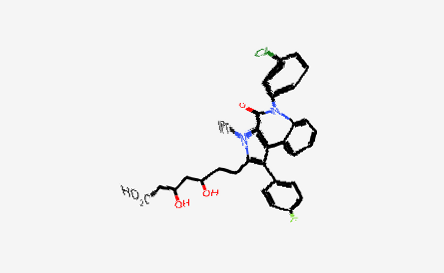 CC(C)n1c(CCC(O)CC(O)CC(=O)O)c(-c2ccc(F)cc2)c2c3ccccc3n(-c3cccc(Cl)c3)c(=O)c21